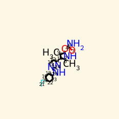 Cc1[nH]c(OC(N)=O)c(C)c1-c1ccnc(Nc2ccc(F)cc2)n1